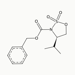 CC(C)[C@@H]1COS(=O)(=O)N1C(=O)OCc1ccccc1